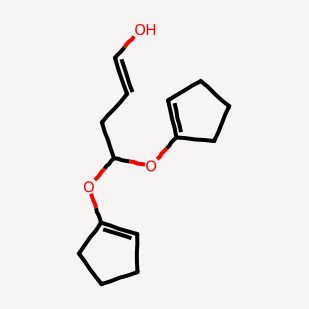 OC=CCC(OC1=CCCC1)OC1=CCCC1